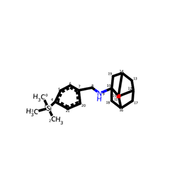 C[Si](C)(C)c1ccc(CNC23CC4CC(CC(C4)C2)C3)cc1